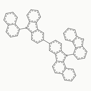 c1ccc2c(-n3c4ccccc4c4cc(-c5ccc6c(c5)c5ccc7ccccc7c5n6-c5cccc6sc7ccccc7c56)ccc43)cccc2c1